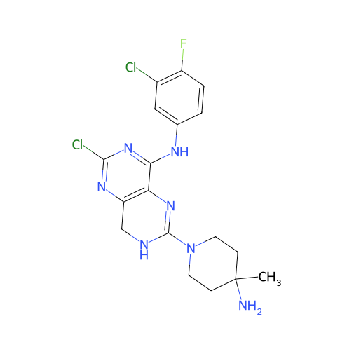 CC1(N)CCN(C2=Nc3c(nc(Cl)nc3Nc3ccc(F)c(Cl)c3)CN2)CC1